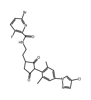 Cc1cc(-n2cc(Cl)cn2)cc(C)c1C1C(=O)CC(CCNC(=O)c2nc(Br)ccc2F)C1=O